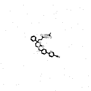 CC(=O)NNC(=O)CCC1(c2ccccc2)CCN([C@@H](C)c2ccc(-c3ccc(C#N)cn3)cc2)C(=O)O1